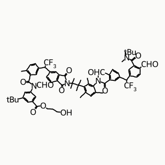 Cc1ccc(C(c2ccc3c(c2)C(=O)N(C(C)(C)C(C)(C)c2c(C)cc(C)c(N(C)C(=O)c4cc(C(c5ccc(C=O)c(C(=O)N(C)C(C)(C)C)c5)C(F)(F)F)ccc4C=O)c2C)C3=O)C(F)(F)F)cc1C(=O)N(C=O)c1cc(C(=O)OCCCO)cc(C(C)(C)C)c1